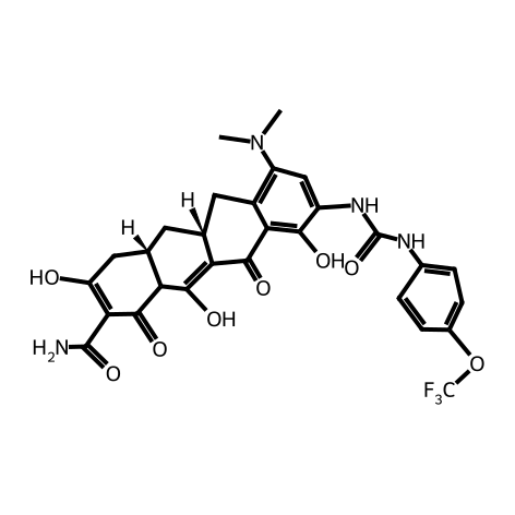 CN(C)c1cc(NC(=O)Nc2ccc(OC(F)(F)F)cc2)c(O)c2c1C[C@H]1C[C@H]3CC(O)=C(C(N)=O)C(=O)C3C(O)=C1C2=O